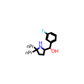 CCCC1(CCC)CCC([C@@H](O)c2cccc(F)c2)N1